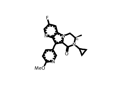 COc1ccc(-c2c3n(c4cc(F)cnc24)C[C@@H](C)N(C2CC2)C3=O)cn1